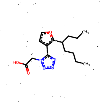 CCCCC(CCC)c1occc1-c1nnnn1CC(=O)O